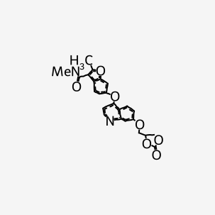 CNC(=O)c1c(C)oc2cc(Oc3ccnc4cc(OCC5COC(=O)O5)ccc34)ccc12